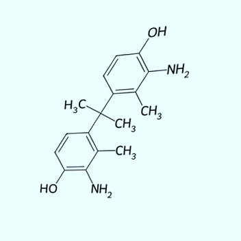 Cc1c(C(C)(C)c2ccc(O)c(N)c2C)ccc(O)c1N